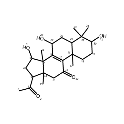 CC(=O)C1CC(O)C2(C)C3=C(C(=O)CC12C)C1(C)CCC(O)C(C)(C)C1CC3O